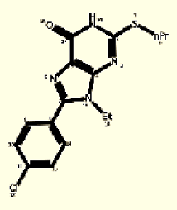 CCCSc1nc2c(nc(-c3ccc(Cl)cc3)n2CC)c(=O)[nH]1